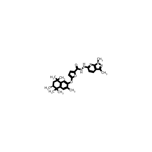 Cc1cc2c(cc1Oc1ccc(C(=O)NNc3ccc4c(C)nn(C)c4n3)o1)C(C)(C)C[C@H](C)C2(C)C